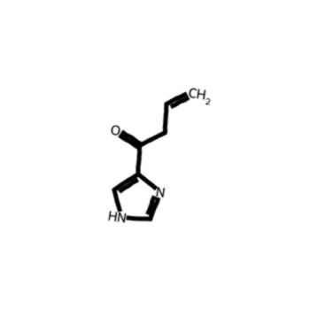 C=CCC(=O)c1c[nH]cn1